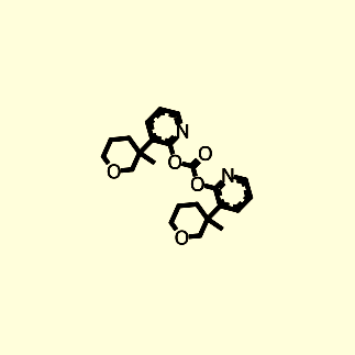 CC1(c2cccnc2OC(=O)Oc2ncccc2C2(C)CCCOC2)CCCOC1